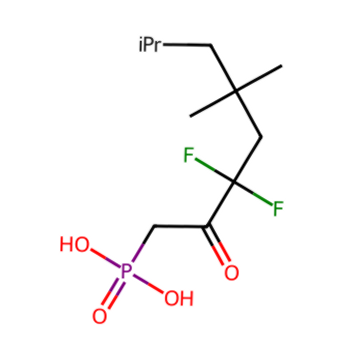 CC(C)CC(C)(C)CC(F)(F)C(=O)CP(=O)(O)O